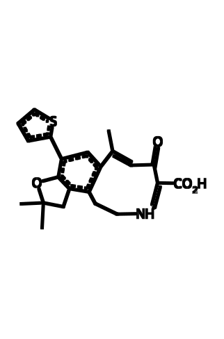 C/C1=C\C(=O)/C(C(=O)O)=C\NCCc2c1cc(-c1cccs1)c1c2CC(C)(C)O1